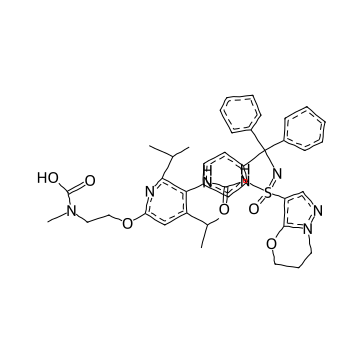 CC(C)c1cc(OCCN(C)C(=O)O)nc(C(C)C)c1NC(=O)NS(=O)(=NC(c1ccccc1)(c1ccccc1)c1ccccc1)c1cnn2c1OCCC2